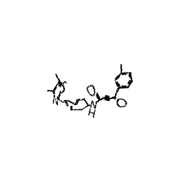 Cc1cccc(C(=O)C#CC(=O)NC2CCN(c3nc(C)c(C)s3)C2)c1